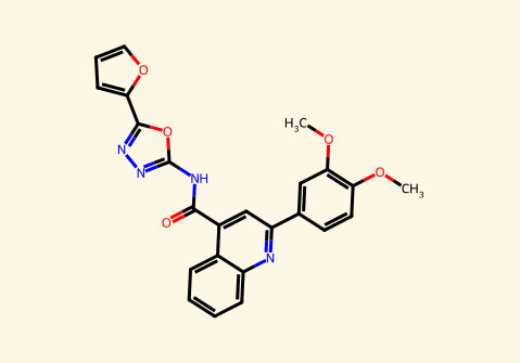 COc1ccc(-c2cc(C(=O)Nc3nnc(-c4ccco4)o3)c3ccccc3n2)cc1OC